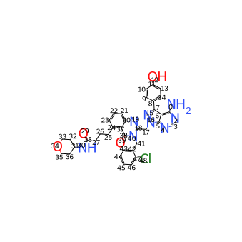 Nc1ncnc2c1c(-c1ccc(O)cc1)nn2Cc1nc2cccc(CCCC(=O)NC3CCOCC3)c2c(=O)n1Cc1ccccc1Cl